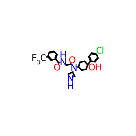 O=C(NCC(=O)N(C1CCC(O)(c2ccc(Cl)cc2)CC1)C1CNC1)c1cccc(C(F)(F)F)c1